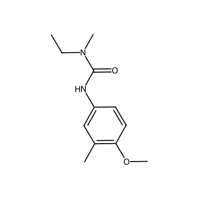 CCN(C)C(=O)Nc1ccc(OC)c(C)c1